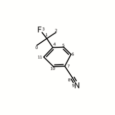 CC(C)(F)c1ccc(C#N)cc1